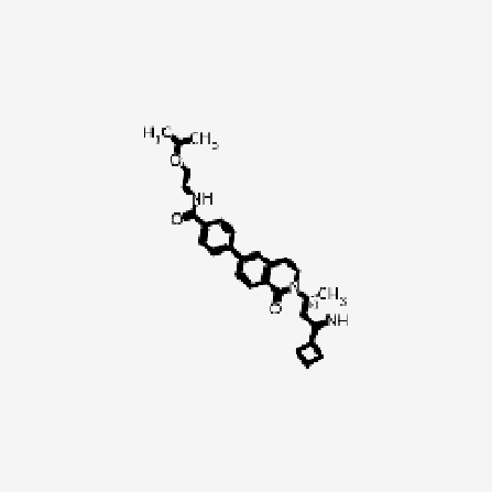 CC(C)OCCNC(=O)c1ccc(-c2ccc3c(c2)CCN([C@H](C)CC(=N)C2CCC2)C3=O)cc1